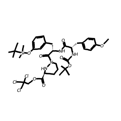 COc1ccc(C[C@H](NC(=O)OC(C)(C)C)C(=O)N[C@@H](Cc2cccc(O[Si](C)(C)C(C)(C)C)c2)C(=O)N2CCC[C@@H](C(=O)OCC(Cl)(Cl)Cl)N2)cc1